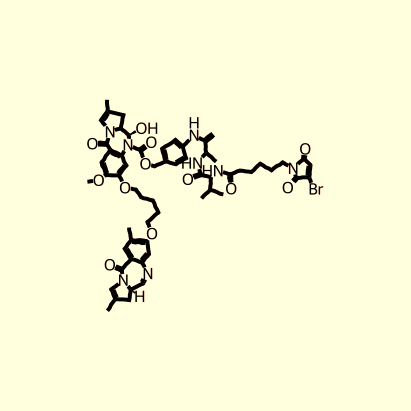 C=C(Nc1ccc(COC(=O)N2c3cc(OCCCCCOc4cc5c(cc4C)C(=O)N4C=C(C)C[C@@H]4C=N5)c(OC)cc3C(=O)N3C=C(C)CC3[C@H]2O)cc1)C(C)NC(=O)C(NC(=O)CCCCCN1C(=O)C=C(Br)C1=O)C(C)C